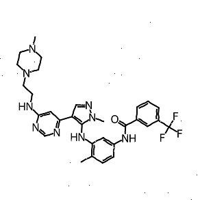 Cc1ccc(NC(=O)c2cccc(C(F)(F)F)c2)cc1Nc1c(-c2cc(NCCN3CCN(C)CC3)ncn2)cnn1C